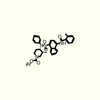 Cc1ccccc1C(=O)Nc1ccc(S(=O)(=O)N(c2ccccc2)[C@H]2CCN(C(=O)OC(C)C)C[C@@H]2C)c2ccccc12